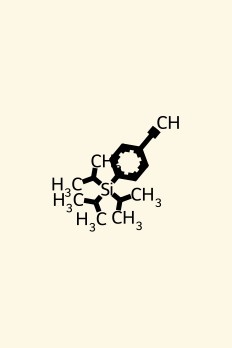 C#Cc1ccc([Si](C(C)C)(C(C)C)C(C)C)cc1